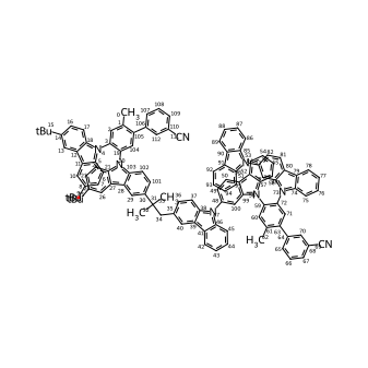 Cc1cc(-n2c3ccc(C(C)(C)C)cc3c3cc(C(C)(C)C)ccc32)c(-n2c3ccc(C(C)(C)C)cc3c3cc(C(C)(C)Cc4ccc5c(c4)c4ccccc4n5-c4ccc5c6ccccc6n(-c6cc(C)c(-c7cccc(C#N)c7)cc6-n6c7ccccc7c7ccc(-n8c9ccccc9c9ccccc98)cc76)c5c4)ccc32)cc1-c1cccc(C#N)c1